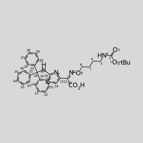 CC(C)(C)OC(=O)NCCCCON=C(C(=O)O)c1csc(NC(c2ccccc2)(c2ccccc2)c2ccccc2)n1